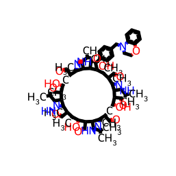 CC(C)CC1C(C=O)C(O)C(C)C(C=O)C(C)(N=N)C(CC(C)C)C(C=O)C(O)CC(C=O)C(C)(N=N)C(CC(C)C)C(C=O)C(O)(Cc2ccc(CN3CCOc4ccccc43)cc2)C(C)C(C=O)C(C)(N=N)C(CC(C)C)C(C=O)C(O)CC(C=O)C1(C)N=N